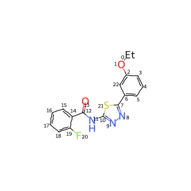 CCOc1cccc(-c2nnc(NC(=O)c3ccccc3F)s2)c1